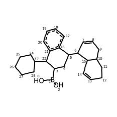 OB(O)C1CC(C2C=CCC3CCC=CC32)c2ccccc2C1C1CCCCC1